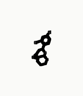 Clc1ccc(C(CC2CO2)OC2CCCCO2)c(Cl)c1